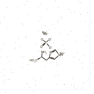 N[C@@H](Cc1c[nH]cn1)C(=O)O.O=P([O-])([O-])[O-].[Na+].[Na+].[Na+]